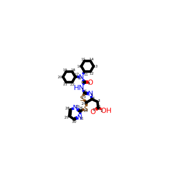 O=C(O)CC1N=C(NC(=O)N(C2CCCCC2)C2CCCCC2)SC1Sc1ncccn1